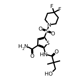 CC(C)(CO)C(=O)Nc1sc(S(=O)(=O)N2CCC(F)(F)CC2)cc1C(N)=O